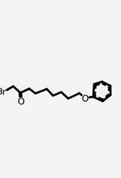 O=C(CBr)CCCCCCCOc1ccccc1